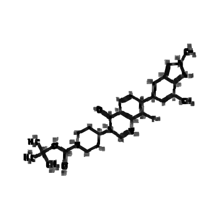 Cc1cc(-c2ccc3c(=O)n(C4CCN(C(=O)OC(C)(C)C)CC4)cnc3c2F)cc2cn(C)nc12